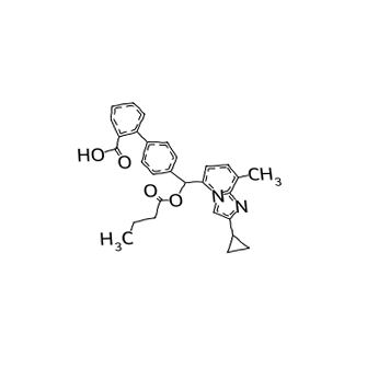 CCCC(=O)OC(c1ccc(-c2ccccc2C(=O)O)cc1)c1ccc(C)c2nc(C3CC3)cn12